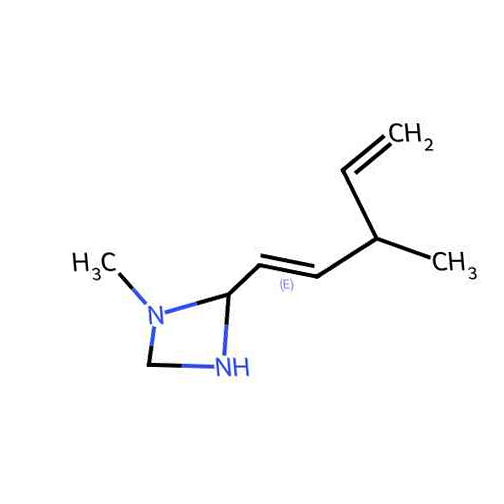 C=CC(C)/C=C/C1NCN1C